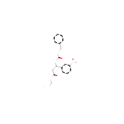 CCOC(=O)CC(NC(=O)OCc1ccccc1)c1cccc([N+](=O)[O-])c1